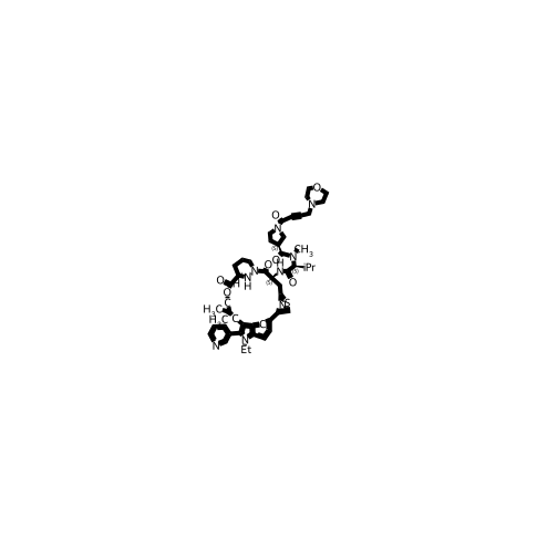 CCn1c(-c2cccnc2)c2c3cc(ccc31)-c1csc(n1)C[C@H](NC(=O)[C@H](C(C)C)N(C)C(=O)[C@H]1CCN(C(=O)C#CCN3CCOCC3)C1)C(=O)N1CCC[C@H](N1)C(=O)OCC(C)(C)C2